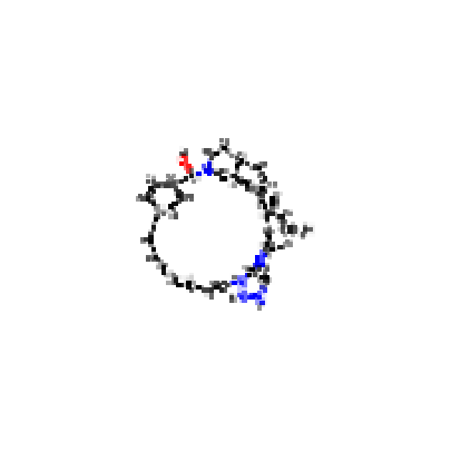 Cc1c2cnc3c1nnn3CCCCCCCc1ccc(cc1)C(=O)N1CCc3ccc(cc3C1)[C@H]2CC(=O)O